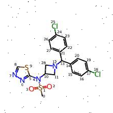 CS(=O)(=O)N(c1nncs1)C1CN(C(c2ccc(Cl)cc2)c2ccc(Cl)cc2)C1